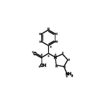 NC1CCN(C(C(=O)O)c2ccccc2)C1